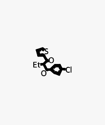 CCC(C(=O)c1ccc(Cl)cc1)C(=O)c1cccs1